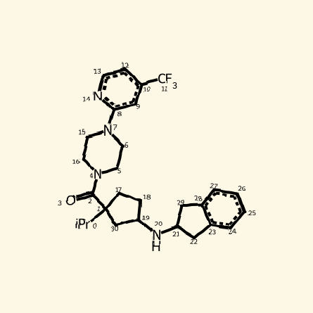 CC(C)C1(C(=O)N2CCN(c3cc(C(F)(F)F)ccn3)CC2)CCC(NC2Cc3ccccc3C2)C1